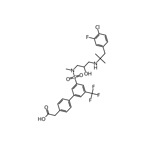 CN(CC(O)CNC(C)(C)Cc1ccc(Cl)c(F)c1)S(=O)(=O)c1cc(-c2ccc(CC(=O)O)cc2)cc(C(F)(F)F)c1